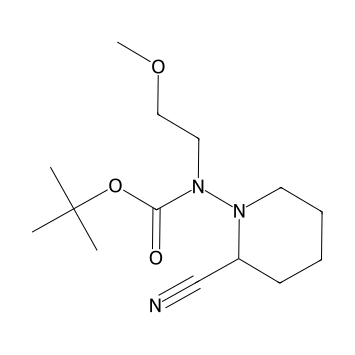 COCCN(C(=O)OC(C)(C)C)N1CCCCC1C#N